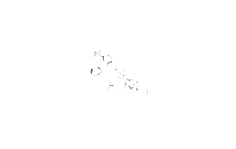 Cn1c(N2CCN(CCc3ccc([N+](=O)[O-])cc3C(=O)c3ccccc3)CC2)cc(=O)n(C)c1=O